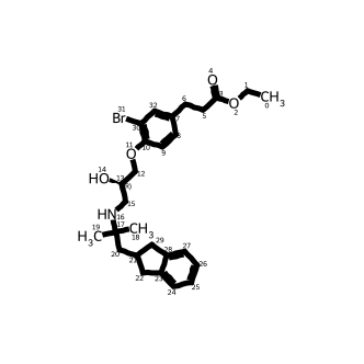 CCOC(=O)CCc1ccc(OC[C@H](O)CNC(C)(C)CC2Cc3ccccc3C2)c(Br)c1